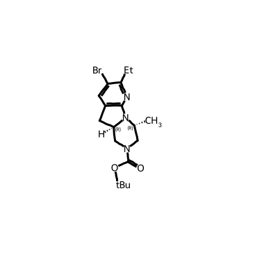 CCc1nc2c(cc1Br)C[C@@H]1CN(C(=O)OC(C)(C)C)C[C@@H](C)N21